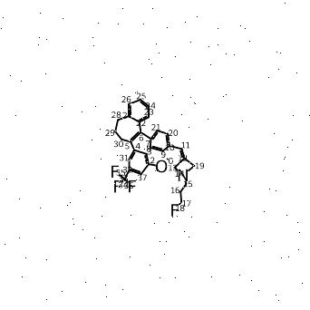 COc1cc(C2=C(c3ccc(C=C4CN(CCCF)C4)cc3)c3ccccc3CCC2)cc(C(F)(F)F)c1